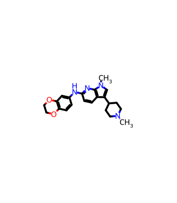 CN1CCC(c2cn(C)c3nc(Nc4ccc5c(c4)OCCO5)ccc23)CC1